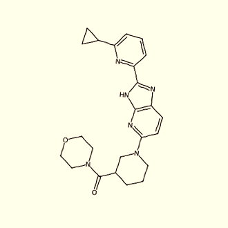 O=C(C1CCCN(c2ccc3nc(-c4cccc(C5CC5)n4)[nH]c3n2)C1)N1CCOCC1